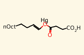 CCCCCCCCCC/C=C/OC(=O)CCC(=O)O.[Hg]